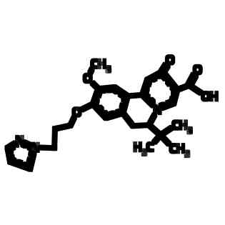 COc1cc2c(cc1OCCCn1cccn1)CC(C(C)(C)C)n1cc(C(=O)O)c(=O)cc1-2